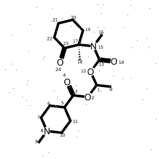 CC(OC(=O)C1CCN(C)CC1)OC(=O)N(C)[C@]1(C)CCCCC1=O